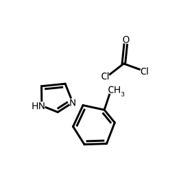 Cc1ccccc1.O=C(Cl)Cl.c1c[nH]cn1